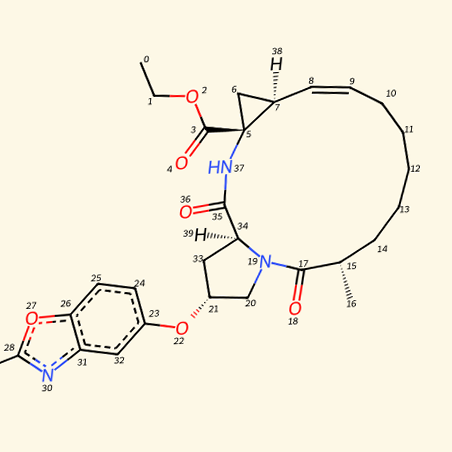 CCOC(=O)[C@@]12C[C@H]1/C=C\CCCCC[C@H](C)C(=O)N1C[C@H](Oc3ccc4oc(C)nc4c3)C[C@H]1C(=O)N2